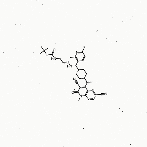 Cc1nc(F)ccc1[C@@H](NOCCNC(=O)OC(C)(C)C)C1CCC(N(C)c2c(C#N)c(=O)n(C)c3ccc(C#N)nc23)CC1